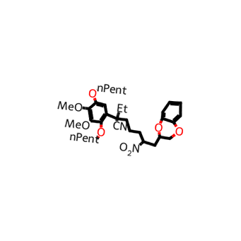 CCCCCOc1cc(C(C#N)(CC)CCCC(CC2COc3ccccc3O2)[N+](=O)[O-])c(OCCCCC)c(OC)c1OC